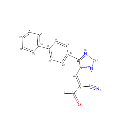 CC(=O)/C(C#N)=C/c1nonc1-c1ccc(-c2ccccc2)cc1